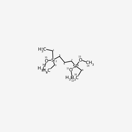 CC[Si](CC)(CCC[Si](CC)(OC)OC)OC